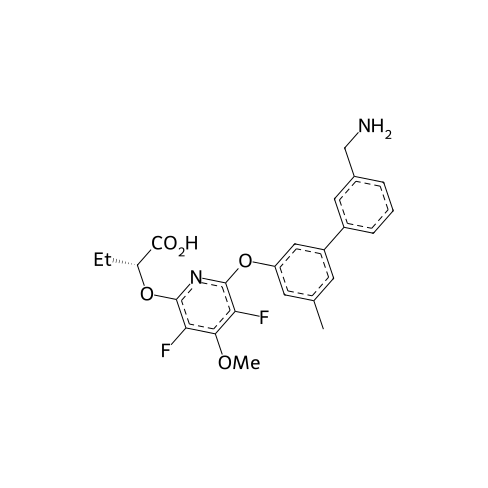 CC[C@@H](Oc1nc(Oc2cc(C)cc(-c3cccc(CN)c3)c2)c(F)c(OC)c1F)C(=O)O